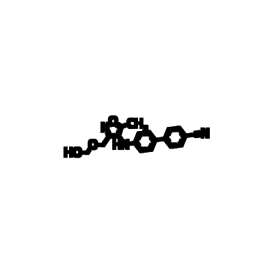 Cc1onc(COCO)c1Nc1ccc(-c2ccc(C#N)cc2)cc1